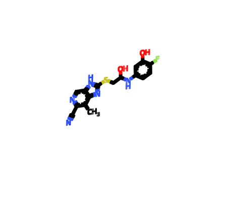 Cc1c(C#N)ncc2[nH]c(SCC(O)Nc3ccc(F)c(O)c3)nc12